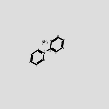 N.c1ccc(-[n+]2ccccc2)cc1